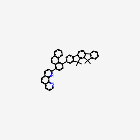 CC1(C)c2ccccc2-c2ccc3c(c21)C(C)(C)c1cc(-c2ccc(-c4ccc5ccc6cccnc6c5n4)c4ccc5ccccc5c24)ccc1-3